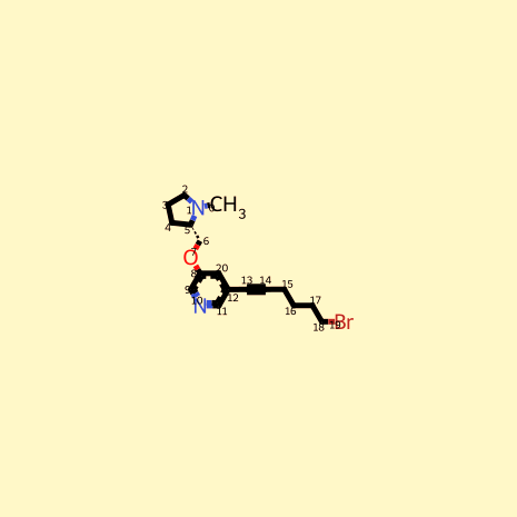 CN1CCC[C@H]1COc1cncc(C#CCCCCBr)c1